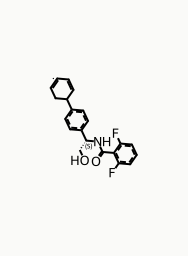 O=C(N[C@H](CO)c1ccc(C2C=C[C]=CC2)cc1)c1c(F)cccc1F